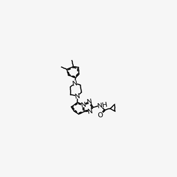 Cc1ccc(N2CCN(c3cccc4nc(NC(=O)C5CC5)nn34)CC2)cc1C